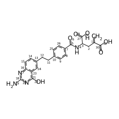 C=C(CC(NC(=O)c1ccc(CCc2ccc3nc(N)nc(O)c3c2)cc1)C(=O)O)C(=O)O